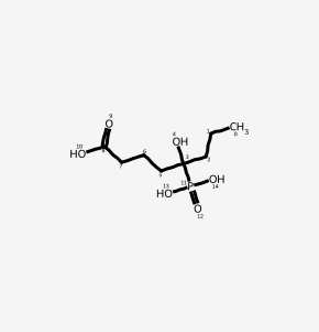 CCCC(O)(CCCC(=O)O)P(=O)(O)O